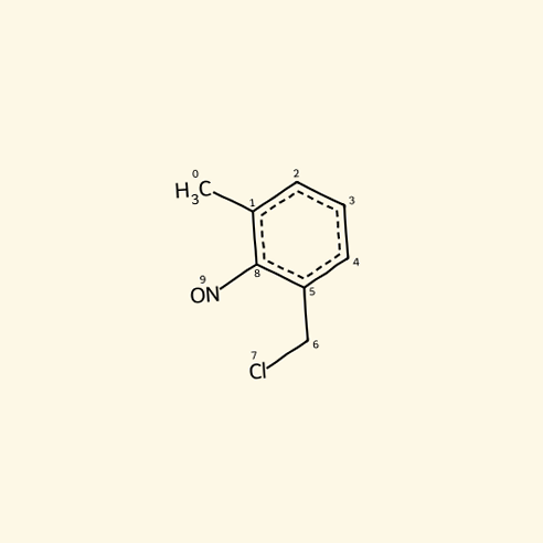 Cc1cccc(CCl)c1N=O